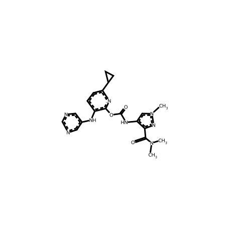 CN(C)C(=O)c1nn(C)cc1NC(=O)Oc1nc(C2CC2)ccc1Nc1cncnc1